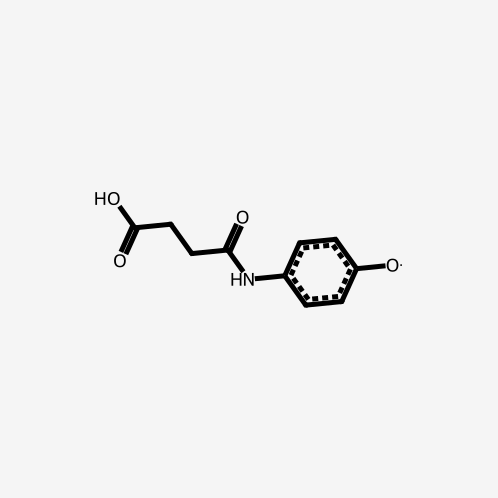 [O]c1ccc(NC(=O)CCC(=O)O)cc1